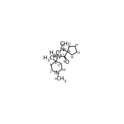 CN1CCC(C)(NC(=O)C2(N(C)C)CCCC2)CC1